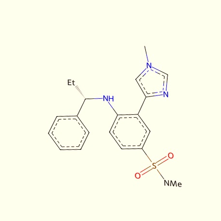 CC[C@H](Nc1ccc(S(=O)(=O)NC)cc1-c1cn(C)cn1)c1ccccc1